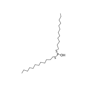 CCCCCCCCCCCCSP(O)SCCCCCCCCCCCC